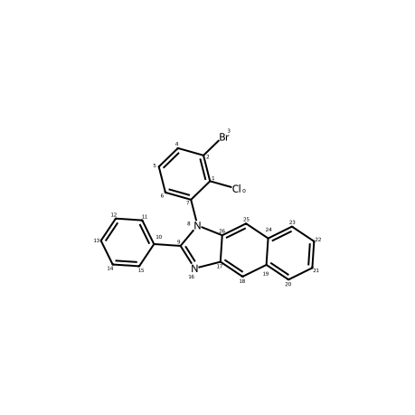 Clc1c(Br)cccc1-n1c(-c2ccccc2)nc2cc3ccccc3cc21